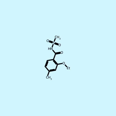 CCOc1cc(C)ccc1C(=O)NS(C)(=O)=O